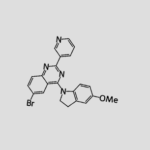 COc1ccc2c(c1)CCN2c1nc(-c2cccnc2)nc2ccc(Br)cc12